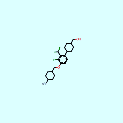 CCCC1CCC(COc2ccc(C3CCC(CO)CC3)c(C(F)F)c2F)CC1